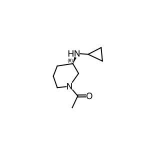 CC(=O)N1CCC[C@@H](NC2CC2)C1